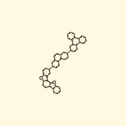 c1ccc2c(c1)oc1c2ccc2oc3ccc(-c4ccc5c(ccc6cc(-c7ccc8c9ccccc9c9ccccc9c8c7)ccc65)c4)cc3c21